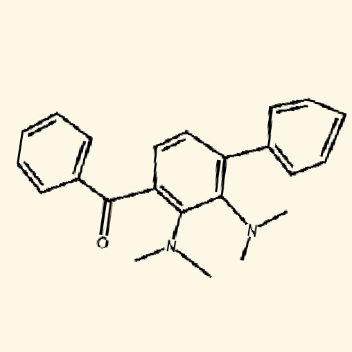 CN(C)c1c(C(=O)c2ccccc2)ccc(-c2ccccc2)c1N(C)C